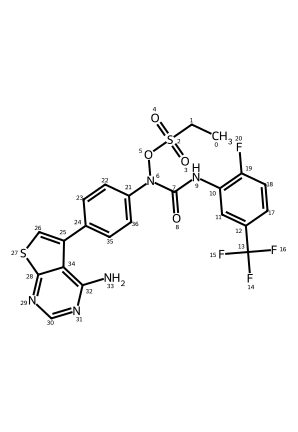 CCS(=O)(=O)ON(C(=O)Nc1cc(C(F)(F)F)ccc1F)c1ccc(-c2csc3ncnc(N)c23)cc1